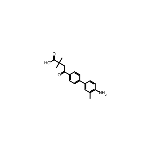 Cc1cc(-c2ccc(C(=O)CC(C)(C)C(=O)O)cc2)ccc1N